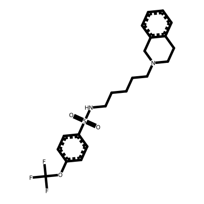 O=S(=O)(NCCCCCN1CCc2ccccc2C1)c1ccc(OC(F)(F)F)cc1